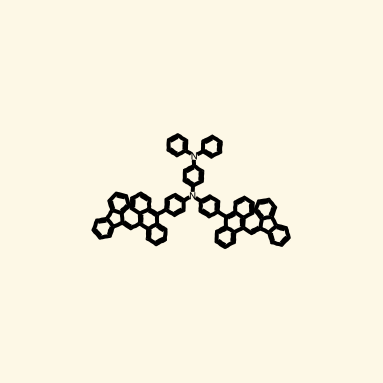 C(=C1c2ccccc2-c2ccccc21)c1c2ccccc2c(-c2ccc(N(c3ccc(-c4c5ccccc5c(C=C5c6ccccc6-c6ccccc65)c5ccccc45)cc3)c3ccc(N(c4ccccc4)c4ccccc4)cc3)cc2)c2ccccc12